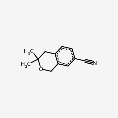 CC1(C)Cc2ccc(C#N)cc2CO1